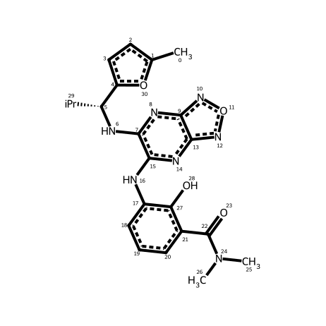 Cc1ccc([C@H](Nc2nc3nonc3nc2Nc2cccc(C(=O)N(C)C)c2O)C(C)C)o1